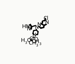 CC(C)(C)OC(=O)N1CCC(N(Cc2cn[nH]c2)c2ccc3cnc(Cl)cc3n2)CC1